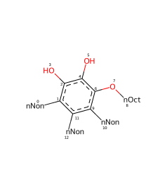 CCCCCCCCCc1c(O)c(O)c(OCCCCCCCC)c(CCCCCCCCC)c1CCCCCCCCC